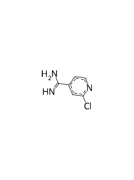 N=C(N)c1ccnc(Cl)c1